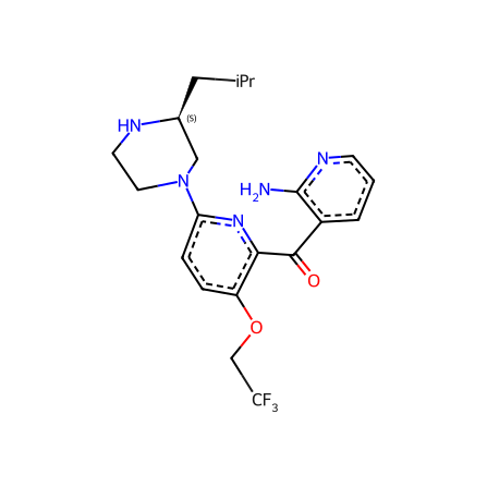 CC(C)C[C@H]1CN(c2ccc(OCC(F)(F)F)c(C(=O)c3cccnc3N)n2)CCN1